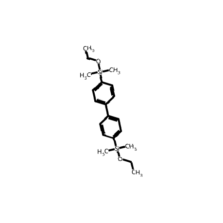 CCO[Si](C)(C)c1ccc(-c2ccc([Si](C)(C)OCC)cc2)cc1